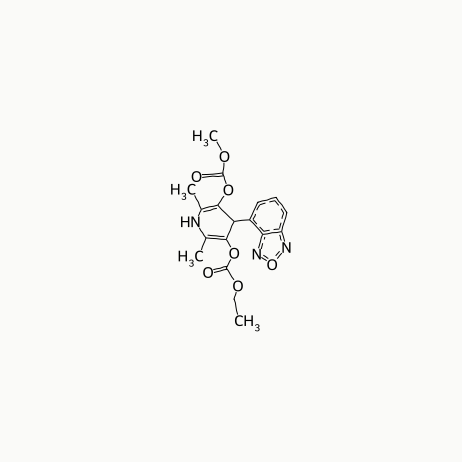 CCOC(=O)OC1=C(C)NC(C)=C(OC(=O)OC)C1c1cccc2nonc12